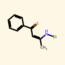 CCNC(C)=CC(=S)c1ccccc1